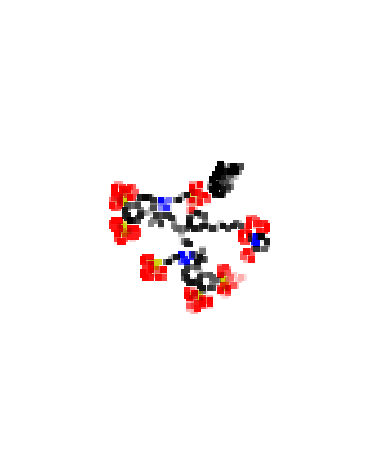 CC1(C)C(/C=C/C(=C/C=C2/N(CCCS(=O)(=O)[O-])c3ccc4c(S(=O)(=O)[O-])cc(S(=O)(=O)[O-])cc4c3C2(C)C)c2cccc(CCCCC(=O)ON3C(=O)CCC3=O)c2)=[N+](CCCS(=O)(=O)[O-])c2ccc3c(S(=O)(=O)[O-])cc(S(=O)(=O)[O-])cc3c21.[Na+].[Na+].[Na+].[Na+].[Na+]